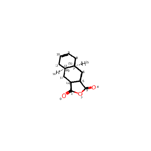 O=C1OC(=O)C2C[C@@H]3CC=CC[C@@H]3CC12